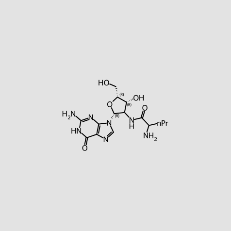 CCCC(N)C(=O)NC1[C@@H](O)[C@@H](CO)O[C@H]1n1cnc2c(=O)[nH]c(N)nc21